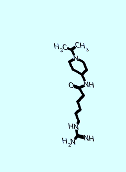 CC(C)N1CCC(NC(=O)CCCCCNC(=N)N)CC1